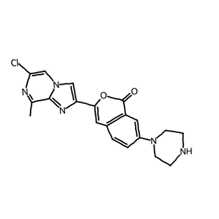 Cc1nc(Cl)cn2cc(-c3cc4ccc(N5CCNCC5)cc4c(=O)o3)nc12